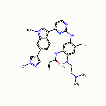 C=CC(=O)Nc1cc(Nc2nccc(-c3cn(C)c4cc(-c5cnn(C)c5)ccc34)n2)c(C)cc1N(C)CCN(C)C